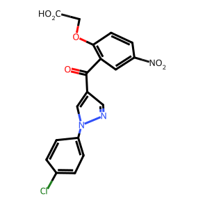 O=C(O)COc1ccc([N+](=O)[O-])cc1C(=O)c1cnn(-c2ccc(Cl)cc2)c1